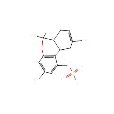 CCCCCc1cc2c(c(OS(=O)(=O)C(F)(F)F)c1)[C@@H]1CC(C)=CCC1C(C)(C)O2